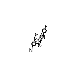 N#Cc1ccc(OCC2CC2)c(C(=O)N2Cc3cn(-c4ccc(F)cc4)nc3C2)c1